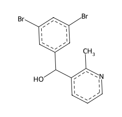 Cc1ncccc1C(O)c1cc(Br)cc(Br)c1